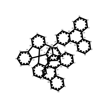 c1ccc2c(c1)-c1ccccc1C21c2ccccc2-c2cccc(N(c3ccc4c5ccccc5c5ccccc5c4c3)c3cc4ccc5ccccc5c4c4ccccc34)c21